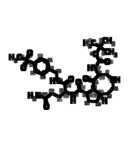 CC(C)(C)OC(=O)N[C@H]1CNCC[C@H]2CC[C@@H](C(=O)N[C@@H](CCC(N)=O)C(=O)NCc3ccc(S(C)(=O)=O)cc3)N2C1=O